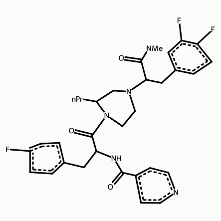 CCCC1CN(C(Cc2ccc(F)c(F)c2)C(=O)NC)CCN1C(=O)C(Cc1ccc(F)cc1)NC(=O)c1ccncc1